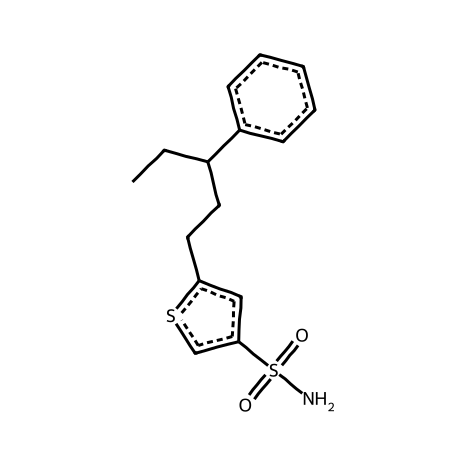 CCC(CCc1cc(S(N)(=O)=O)cs1)c1ccccc1